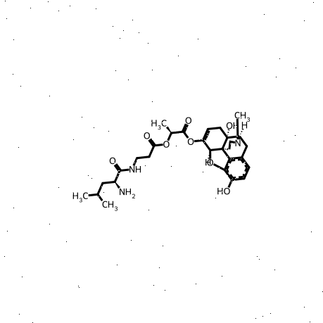 CC(C)C[C@H](N)C(=O)NCCC(=O)O[C@@H](C)C(=O)OC1=CC[C@@]2(O)[C@H]3Cc4ccc(O)c5c4[C@@]2(CCN3C)[C@H]1O5